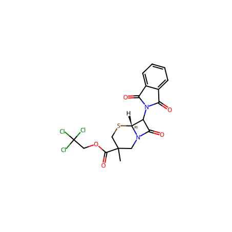 CC1(C(=O)OCC(Cl)(Cl)Cl)CS[C@@H]2C(N3C(=O)c4ccccc4C3=O)C(=O)N2C1